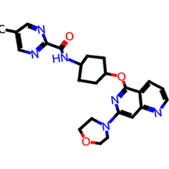 Cc1cnc(C(=O)NC2CCC(Oc3nc(N4CCOCC4)cc4ncccc34)CC2)nc1